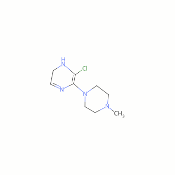 CN1CCN(C2=C(Cl)NCC=N2)CC1